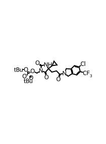 CC(C)(C)OP(=O)(OCN1C(=O)NC(CCC(=O)N2Cc3cc(Cl)c(C(F)(F)F)cc3C2)(C2CC2)C1=O)OC(C)(C)C